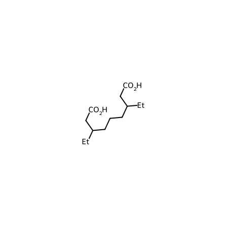 CCC(CCCC(CC)CC(=O)O)CC(=O)O